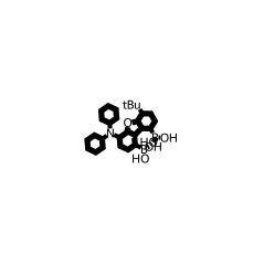 CC(C)(C)c1ccc(B(O)O)c2c1oc1c(N(c3ccccc3)c3ccccc3)ccc(B(O)O)c12